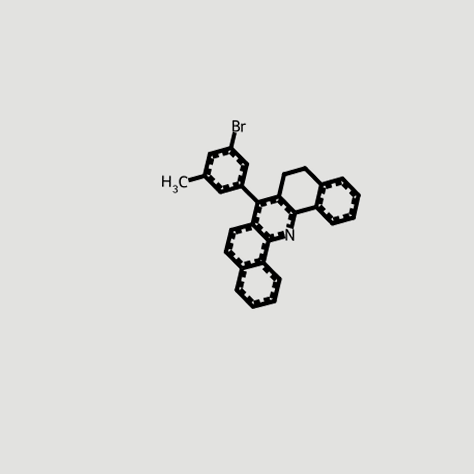 Cc1cc(Br)cc(-c2c3c(nc4c2ccc2ccccc24)-c2ccccc2CC3)c1